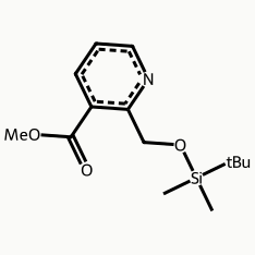 COC(=O)c1cccnc1CO[Si](C)(C)C(C)(C)C